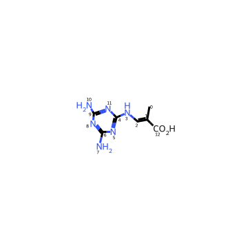 CC(=CNc1nc(N)nc(N)n1)C(=O)O